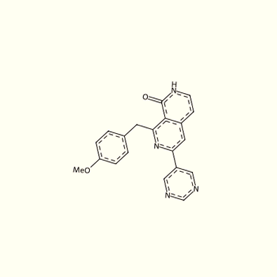 COc1ccc(Cc2nc(-c3cncnc3)cc3cc[nH]c(=O)c23)cc1